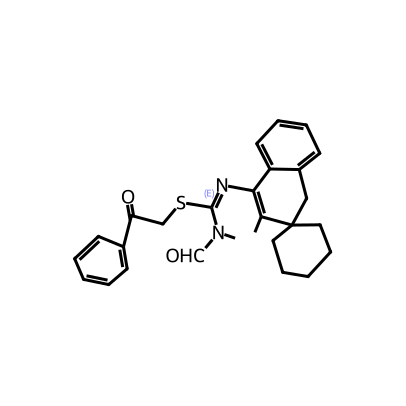 CC1=C(/N=C(/SCC(=O)c2ccccc2)N(C)C=O)c2ccccc2CC12CCCCC2